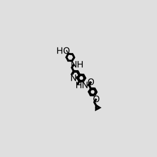 Cc1c(NC(=O)c2ccc(OCC3CC3)cc2)ccc2cc(CN[C@H]3CC[C@H](O)CC3)cnc12